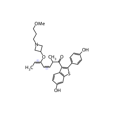 C/C=C(\C=C/C(C)C(=O)c1c(-c2ccc(O)cc2)sc2cc(O)ccc12)OC1CN(CCCOC)C1